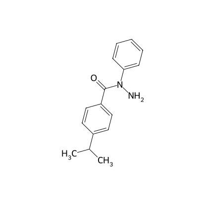 CC(C)c1ccc(C(=O)N(N)c2ccccc2)cc1